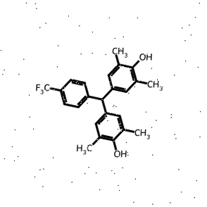 Cc1cc(C(c2ccc(C(F)(F)F)cc2)c2cc(C)c(O)c(C)c2)cc(C)c1O